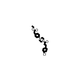 CCOC(=O)Cc1ccc(N2CCN(C(=O)C=Cc3ccc(Cl)cc3)CC2)cc1